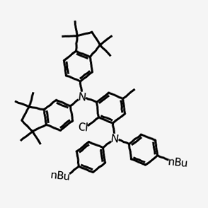 CCCCc1ccc(N(c2ccc(CCCC)cc2)c2cc(C)cc(N(c3ccc4c(c3)C(C)(C)CC4(C)C)c3ccc4c(c3)C(C)(C)CC4(C)C)c2Cl)cc1